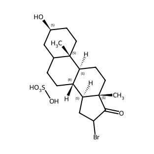 C[C@]12CC[C@H](O)CC1CC[C@@H]1[C@@H]2CC[C@]2(C)C(=O)C(Br)C[C@@H]12.O=S(=O)(O)O